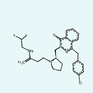 C=C(CCN1CCC[C@@H]1Cn1nc(Cc2ccc(Cl)cc2)c2ccccc2c1=O)NCC(F)F